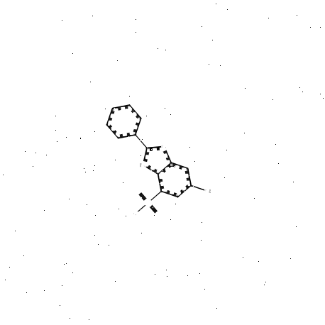 Nc1cc(S(N)(=O)=O)c2[nH]c(-c3ccccc3)nc2c1